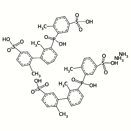 Cc1ccc(S(=O)(=O)O)cc1-c1cccc(P(=O)(O)c2cc(S(=O)(=O)O)ccc2C)c1C.Cc1ccc(S(=O)(=O)O)cc1-c1cccc(P(=O)(O)c2cc(S(=O)(=O)O)ccc2C)c1C.N.N